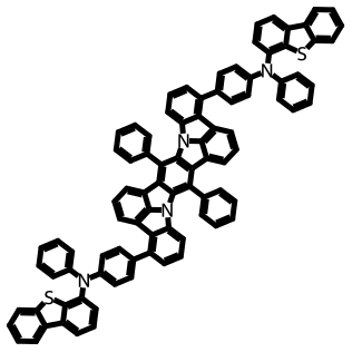 c1ccc(-c2c3c4cccc5c6c(-c7ccc(N(c8ccccc8)c8cccc9c8sc8ccccc89)cc7)cccc6n(c3c(-c3ccccc3)c3c6cccc7c8c(-c9ccc(N(c%10ccccc%10)c%10cccc%11c%10sc%10ccccc%10%11)cc9)cccc8n(c23)c76)c54)cc1